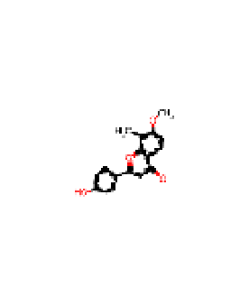 COc1ccc2c(=O)cc(-c3ccc(O)cc3)oc2c1C